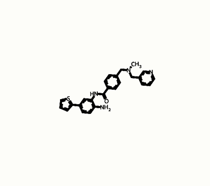 CN(Cc1ccc(C(=O)Nc2cc(-c3cccs3)ccc2N)cc1)Cc1cccnc1